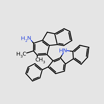 Cc1c(C)c(-c2c(-c3ccccc3)ccc3c2[nH]c2ccccc23)c2c(c1N)Cc1ccccc1-2